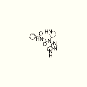 O=C(NCC(=O)N(c1ncnc2[nH]ccc12)C1CCCNC1)c1ccccc1